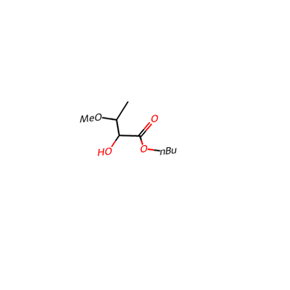 CCCCOC(=O)C(O)C(C)OC